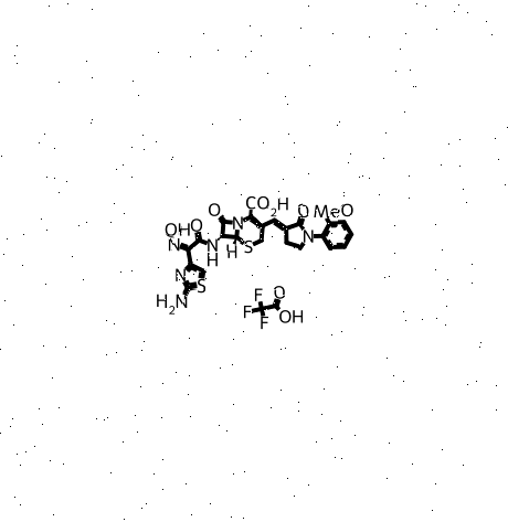 COc1ccccc1N1CC/C(=C\C2=C(C(=O)O)N3C(=O)[C@@H](NC(=O)/C(=N\O)c4csc(N)n4)[C@H]3SC2)C1=O.O=C(O)C(F)(F)F